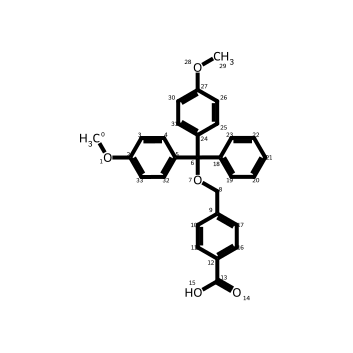 COc1ccc(C(OCc2ccc(C(=O)O)cc2)(c2ccccc2)c2ccc(OC)cc2)cc1